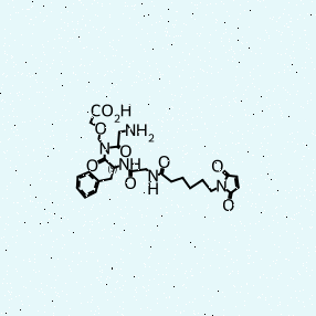 NCC(=O)N(COCC(=O)O)C(=O)[C@H](Cc1ccccc1)NC(=O)CNC(=O)CCCCCN1C(=O)C=CC1=O